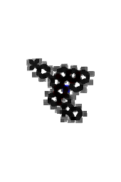 CC(C)(C)c1ccc(-c2cc(-c3ccccc3)c(N(C3=CC4=C(CC3)C(C)(C)c3ccccc34)c3ccc4ccccc4c3C3=C=C=CC=C3c3ccccc3)c(-c3ccccc3)c2)cc1